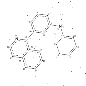 C1=CCCC(Nc2cccc(-c3nccc4ccccc34)c2)=C1